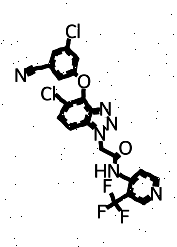 N#Cc1cc(Cl)cc(Oc2c(Cl)ccc3c2nnn3CC(=O)Nc2ccncc2C(F)(F)F)c1